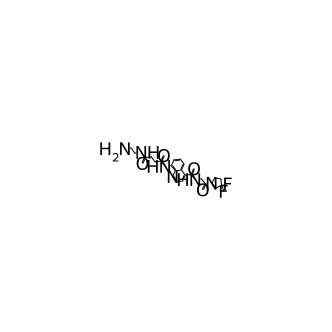 NCCNC(=O)CCC(=O)Nc1cccc2c(C(=O)NCC(=O)N3CCC(F)(F)C3)ccnc12